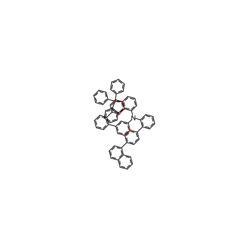 c1ccc(-c2ccccc2-c2cccc(N(c3ccccc3-c3ccc(-c4cccc5ccccc45)cc3)c3cccc4c3-c3ccccc3C4(c3ccccc3)c3ccccc3)c2)cc1